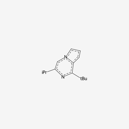 CC(C)c1cn2cccc2c(C(C)(C)C)n1